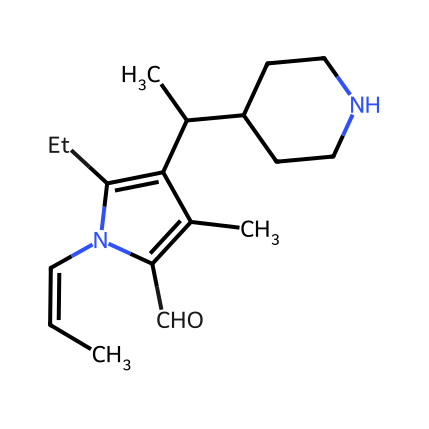 C/C=C\n1c(C=O)c(C)c(C(C)C2CCNCC2)c1CC